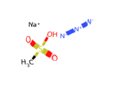 CS(=O)(=O)O.[N-]=[N+]=[N-].[Na+]